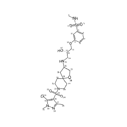 CNS(=O)(=O)c1cccc(OC[C@@H](O)CNC2COC3(CCN(S(=O)(=O)c4c(C)nn(C)c4Cl)CC3)C2)c1